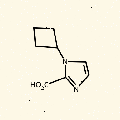 O=C(O)c1nccn1C1CCC1